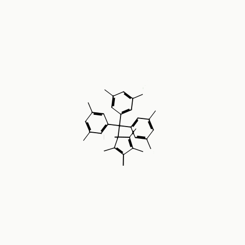 CC1=C(C)[C]([Ti+3])(C(c2cc(C)cc(C)c2)(c2cc(C)cc(C)c2)c2cc(C)cc(C)c2)C(C)=C1C.[Cl-].[Cl-].[Cl-]